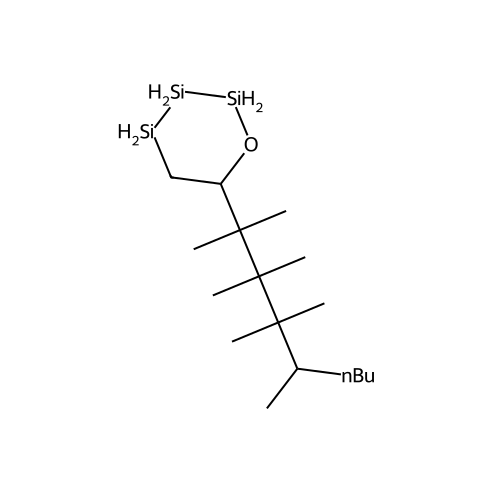 CCCCC(C)C(C)(C)C(C)(C)C(C)(C)C1C[SiH2][SiH2][SiH2]O1